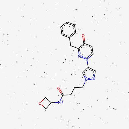 O=C(CCCn1cc(-n2ccc(=O)c(Cc3c[c]ccc3)n2)cn1)NC1COC1